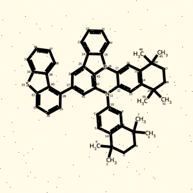 CC1(C)CCC(C)(C)c2cc(N3c4cc5c(cc4B4c6ccccc6-c6cc(-c7cccc8sc9ccccc9c78)cc3c64)C(C)(C)CCC5(C)C)ccc21